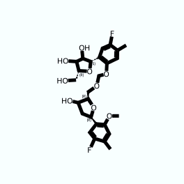 COc1cc(C)c(F)cc1[C@H]1CC(O)[C@@H](COCOc2cc(C)c(F)cc2[C@@H]2O[C@H](CO)C(O)C2O)O1